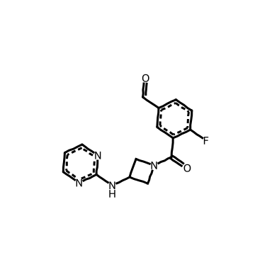 O=Cc1ccc(F)c(C(=O)N2CC(Nc3ncccn3)C2)c1